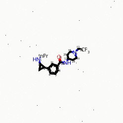 CCCNC1CC1c1cccc(C(=O)NC2CCN(CC(F)(F)F)CC2)c1